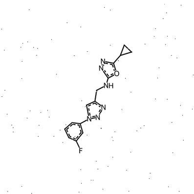 Fc1cccc(-n2cc(CNc3nnc(C4CC4)o3)nn2)c1